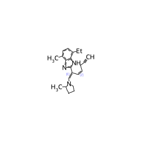 C#CC/C=C\C(=C/N1CCCC1C)c1nc2c(C)ccc(CC)c2[nH]1